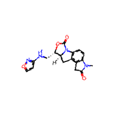 CN1C(=O)Cc2c1ccc1c2C[C@H]2[C@H](CNc3ccon3)OC(=O)N12